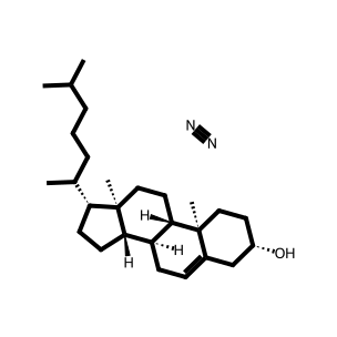 CC(C)CCCC(C)[C@H]1CC[C@H]2[C@@H]3CC=C4C[C@@H](O)CC[C@]4(C)[C@H]3CC[C@]12C.N#N